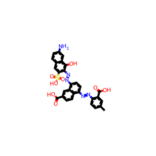 Cc1ccc(N=Nc2ccc(N=Nc3c(S(=O)(=O)O)cc4ccc(N)cc4c3O)c3cc(C(=O)O)ccc23)c(C(=O)O)c1